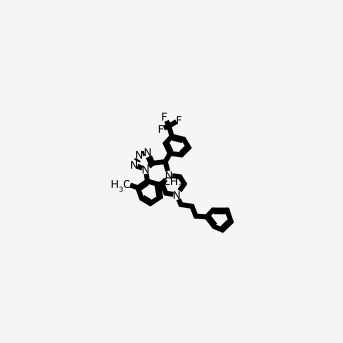 Cc1cccc(C)c1-n1nnnc1C(c1cccc(C(F)(F)F)c1)N1CCN(CCCc2ccccc2)CC1